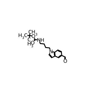 CC(C)(C)OC(=O)NCCCCn1ccc2cc(C=O)ccc21